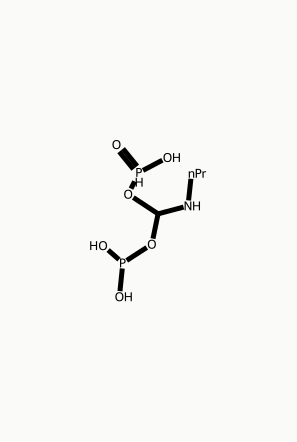 CCCNC(OP(O)O)O[PH](=O)O